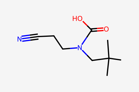 CC(C)(C)CN(CCC#N)C(=O)O